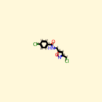 O=C(NCc1cc(CCl)no1)c1ccc(Cl)cc1